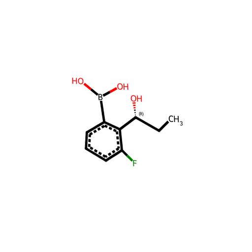 CC[C@@H](O)c1c(F)cccc1B(O)O